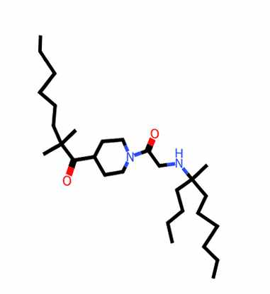 CCCCCCC(C)(CCCC)NCC(=O)N1CCC(C(=O)C(C)(C)CCCCCC)CC1